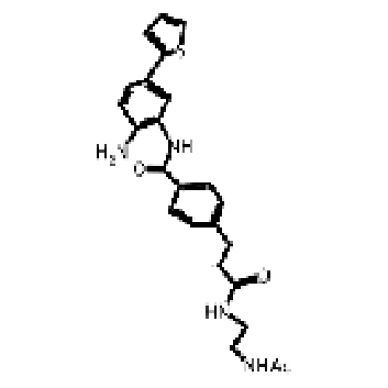 CC(=O)NCCNC(=O)[CH]Cc1ccc(C(=O)Nc2cc(-c3cccs3)ccc2N)cc1